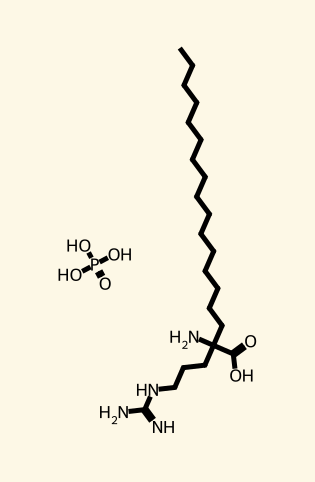 CCCCCCCCCCCCCCCCC(N)(CCCNC(=N)N)C(=O)O.O=P(O)(O)O